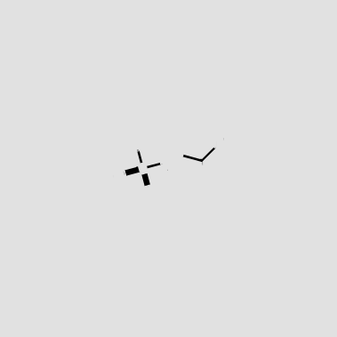 CCS(=O)(=O)O.FCF